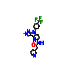 Cn1cc2c3nc(NC(=O)Cc4cccnc4)ccc3n(-c3ccc(C(F)(F)F)cc3)c2n1